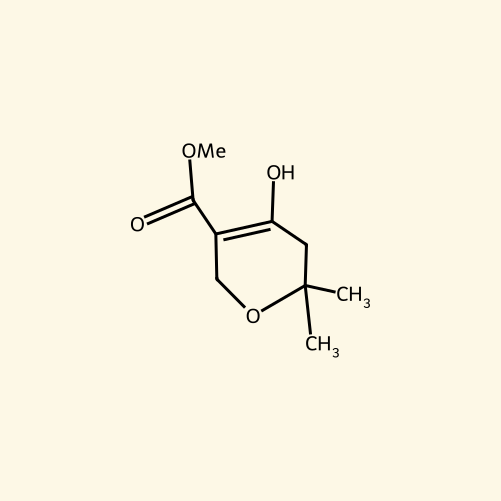 COC(=O)C1=C(O)CC(C)(C)OC1